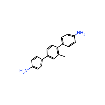 Cc1cc(-c2ccc(N)cc2)ccc1-c1ccc(N)cc1